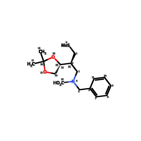 CSC[C@@H](CN(Cc1ccccc1)C(=O)O)[C@@H]1COC(C)(C)O1